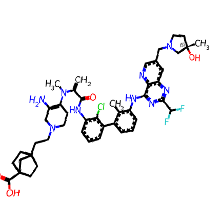 C=C(C(=O)Nc1cccc(-c2cccc(Nc3nc(C(F)F)nc4cc(CN5CC[C@](C)(O)C5)cnc34)c2C)c1Cl)N(C)C1=C(N)CN(CCC23CCC(C(=O)O)(CC2)C3)CC1